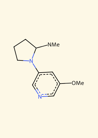 CNC1CCCN1c1cncc(OC)c1